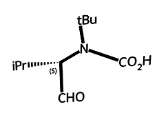 CC(C)[C@@H](C=O)N(C(=O)O)C(C)(C)C